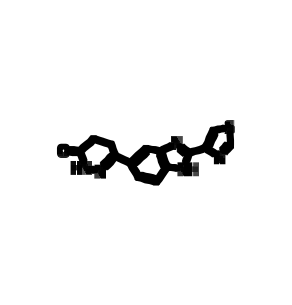 O=C1CCC(c2ccc3[nH]c(-c4cscn4)nc3c2)=NN1